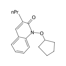 CCCc1cc2ccccc2n(OC2CCCC2)c1=O